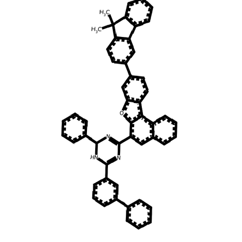 CC1(C)c2ccccc2-c2cc(-c3ccc4c(c3)oc3c(C5=NC(c6ccccc6)NC(c6cccc(-c7ccccc7)c6)=N5)cc5ccccc5c34)ccc21